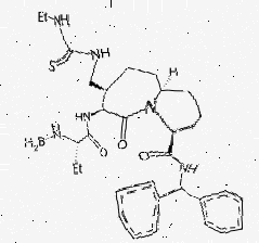 BN[C@@H](CC)C(=O)N[C@@H]1C(=O)N2[C@@H](CC[C@@H]1CNC(=S)NCC)CC[C@H]2C(=O)NC(c1ccccc1)c1ccccc1